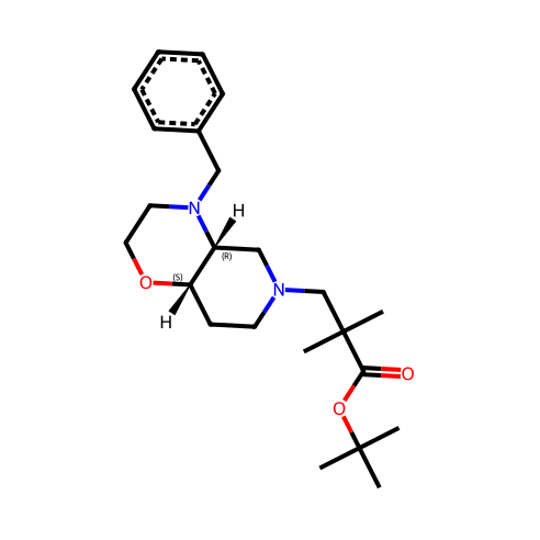 CC(C)(C)OC(=O)C(C)(C)CN1CC[C@@H]2OCCN(Cc3ccccc3)[C@@H]2C1